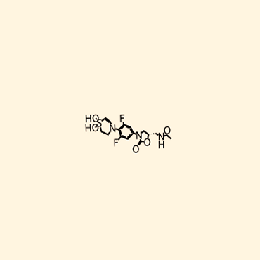 CC(=O)NC[C@H]1CN(c2cc(F)c(N3C=CS(O)(O)CC3)c(F)c2)C(=O)O1